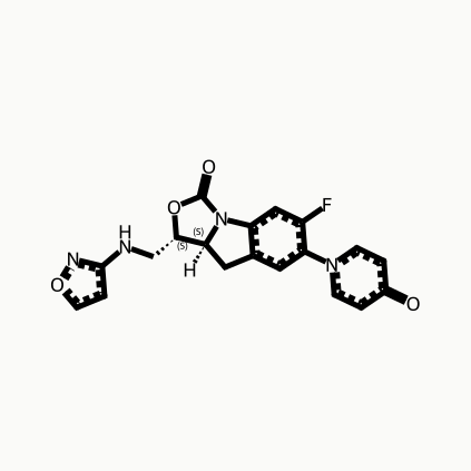 O=C1O[C@@H](CNc2ccon2)[C@@H]2Cc3cc(-n4ccc(=O)cc4)c(F)cc3N12